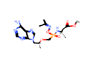 CC(C)=NOP(=O)(CO[C@H](C)Cn1cnc2c(N)ncnc21)N[C@@H](C)C(=O)OC(C)C